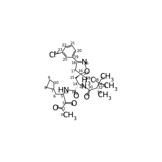 CC(=O)C(=O)C(CC1CCC1)NC(=O)[C@@H]1C[C@]2(CC(c3cccc(Cl)c3)=NO2)CN1C(=O)[C@@H](C)C(C)(C)C